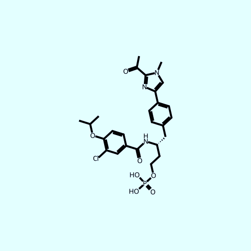 CC(=O)c1nc(-c2ccc(C[C@H](CCOP(=O)(O)O)NC(=O)c3ccc(OC(C)C)c(Cl)c3)cc2)cn1C